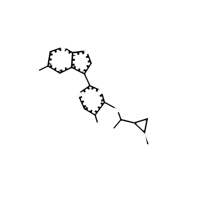 CC(C)(C)C(Nc1nc(-c2c[nH]c3ncc(F)cc23)ncc1F)C1C[C@H]1C(=O)O